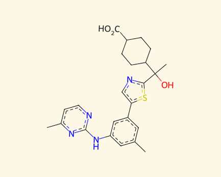 Cc1cc(Nc2nccc(C)n2)cc(-c2cnc(C(C)(O)C3CCC(C(=O)O)CC3)s2)c1